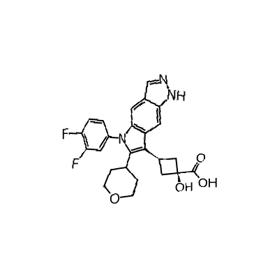 O=C(O)[C@]1(O)C[C@@H](c2c(C3CCOCC3)n(-c3ccc(F)c(F)c3)c3cc4cn[nH]c4cc32)C1